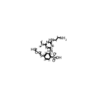 CN(C)c1nc(NCCN)nc(Nc2cc(SOOO)ccc2S(=O)(=O)O)n1